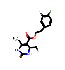 CC1=C(C(=O)OCCc2ccc(F)c(F)c2)C(CF)NC(=S)N1